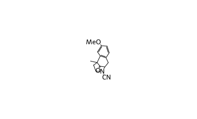 COc1ccc2c(c1)C1(C)CCN(C#N)C(C2)C1=O